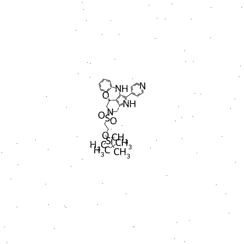 CC(C)(C)[Si](C)(C)OCCS(=O)(=O)N1CC(=O)c2c([nH]c(-c3ccncc3)c2Nc2ccccc2)C1